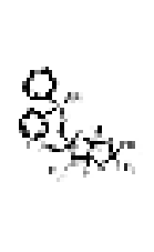 C=C[C@]1(CO[Si](c2ccccc2)(c2ccccc2)C(C)(C)C)O[C@@H]2OC(C)(C)O[C@@H]2[C@@H]1C